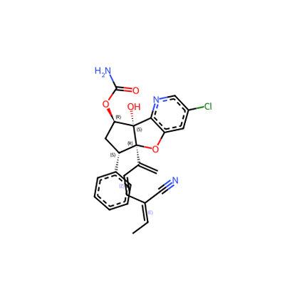 C=C(/C=C\C(C#N)=C/C)[C@@]12Oc3cc(Cl)cnc3[C@]1(O)[C@H](OC(N)=O)C[C@H]2c1ccccc1